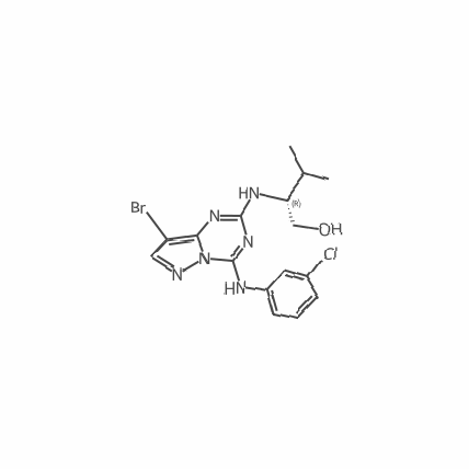 CC(C)[C@H](CO)Nc1nc(Nc2cccc(Cl)c2)n2ncc(Br)c2n1